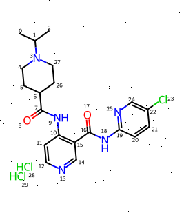 CC(C)N1CCC(C(=O)Nc2ccncc2C(=O)Nc2ccc(Cl)cn2)CC1.Cl.Cl